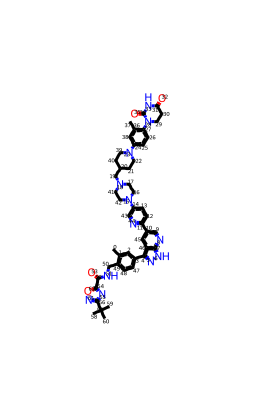 Cc1cc(-c2n[nH]c3ncc(-c4ccc(N5CCN(CC6CCN(c7ccc(N8CCC(=O)NC8=O)c(C)c7)CC6)CC5)cn4)cc23)ccc1CNC(=O)c1nc(C(C)(C)C)no1